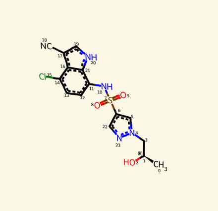 C[C@@H](O)Cn1cc(S(=O)(=O)Nc2ccc(Cl)c3c(C#N)c[nH]c23)cn1